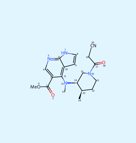 COC(=O)c1cnc2[nH]ccc2c1N(C)[C@H]1CN(C(=O)CC#N)CC[C@H]1C